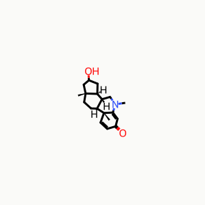 CN1C[C@@H]2[C@@H](CC[C@]3(C)CC(O)C[C@@H]23)[C@@]2(C)C=CC(=O)C=C12